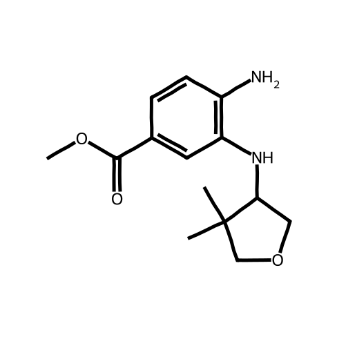 COC(=O)c1ccc(N)c(NC2COCC2(C)C)c1